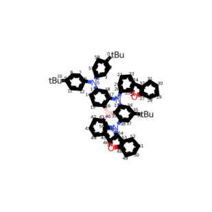 CC(C)(C)c1ccc(N(c2ccc(C(C)(C)C)cc2)c2ccc3c(c2)N(c2cccc4c2oc2ccccc24)c2cc(C(C)(C)C)cc4c2B3c2cccc3c5oc6ccccc6c5n-4c23)cc1